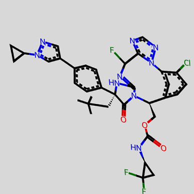 CC(C)(C)C[C@]1(c2ccc(-c3cnn(C4CC4)c3)cc2)N/C2=N\C(F)c3ncnn3-c3cc(ccc3Cl)[C@@H](COC(=O)N[C@H]3CC3(F)F)N2C1=O